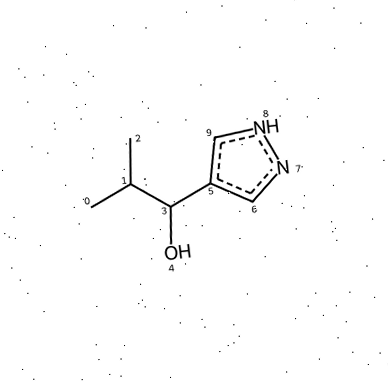 CC(C)C(O)c1cn[nH]c1